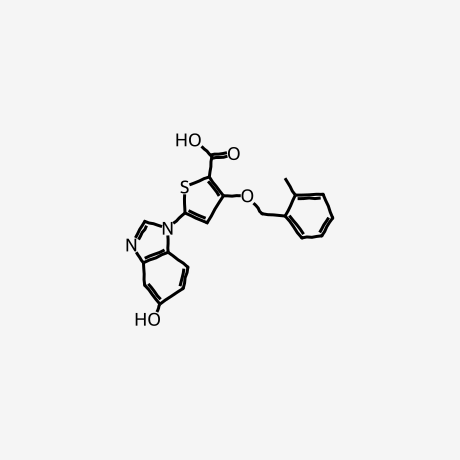 Cc1ccccc1COc1cc(-n2cnc3cc(O)ccc32)sc1C(=O)O